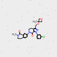 CN1CCc2ccc(N3CCc4c(COC5(C)COC5)nn(-c5cccc(Cl)c5)c4C3=O)cc2C1=O